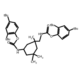 CC1(C)CC(NC(=O)Oc2ccc(C(C)(C)C)cc2C(C)(C)C)CC(C)(CNC(=O)Oc2ccc(C(C)(C)C)cc2C(C)(C)C)C1